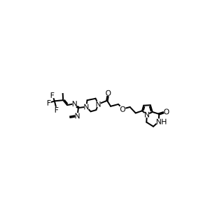 C=N/C(=N\C=C(/C)C(F)(F)F)N1CCN(C(=O)CCOCCc2ccc3n2CCNC3=O)CC1